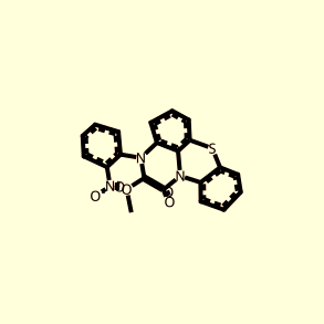 COC(=O)N(c1ccccc1[N+](=O)[O-])c1cccc2c1N(C=O)c1ccccc1S2